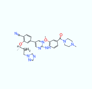 COc1cc(C(=O)N2CCN(C)CC2)ccc1Nc1ncc(-c2ccc(C#N)c(O[C@@H](C)[SiH2]Cn3cncn3)c2)cn1